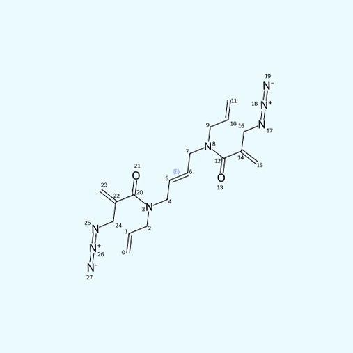 C=CCN(C/C=C/CN(CC=C)C(=O)C(=C)CN=[N+]=[N-])C(=O)C(=C)CN=[N+]=[N-]